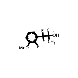 COc1cccc(C(F)(F)C(C)(C)O)c1F